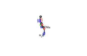 COc1cc2c(Oc3ccc(NC(=O)NC(=O)Cc4ccccc4)cc3F)ccnc2cc1OCCCCN1CCN(C)CC1